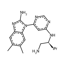 Cc1cc2nc(N)n(-c3cc(N[C@H](CN)C(C)C)ncn3)c2cc1C